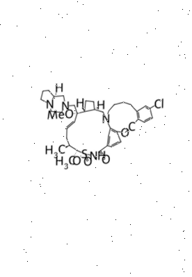 CO[C@@]1(CN2CCN3CCC[C@H]3C2)/C=C/C[C@H](C)[C@@H](C)S(=O)(=O)NC(=O)c2ccc3c(c2)N(CCCCc2cc(Cl)ccc2CO3)C[C@@H]2CC[C@H]21